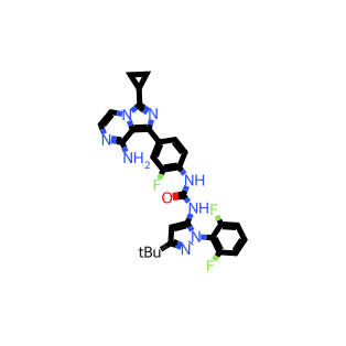 CC(C)(C)c1cc(NC(=O)Nc2ccc(-c3nc(C4CC4)n4ccnc(N)c34)cc2F)n(-c2c(F)cccc2F)n1